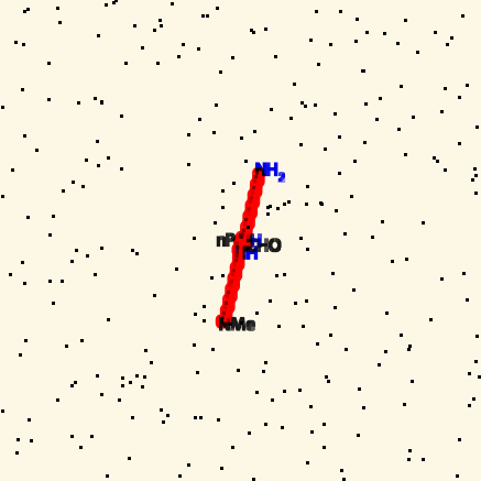 CCCOCC(COCCC=O)(COCCC(=O)NCCOCCOCCOCCOCCOCCOCCOCCOCCOCCOCCOCCOCCC(=O)NC)NC(=O)CCOCCOCCOCCOCCOCCOCCOCCOCCOCCOCCOCCOCCN